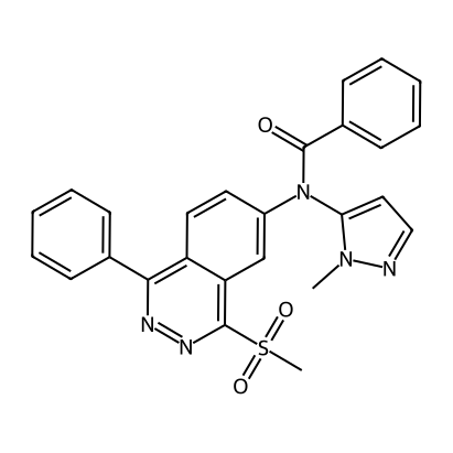 Cn1nccc1N(C(=O)c1ccccc1)c1ccc2c(-c3ccccc3)nnc(S(C)(=O)=O)c2c1